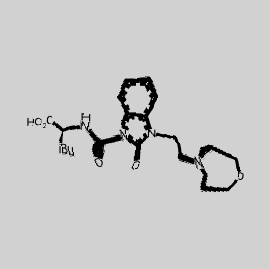 CCC(C)[C@H](NC(=O)n1c(=O)n(CCN2CCOCC2)c2ccccc21)C(=O)O